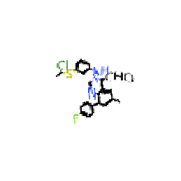 Cc1cc(-c2ccc(F)cc2)c2c(c1)C(C=O)N(Nc1cccc(SC(C)Cl)c1)C=N2